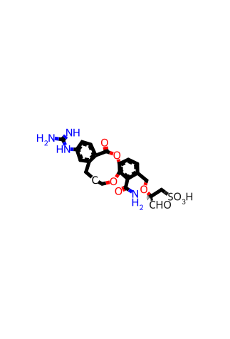 N=C(N)Nc1ccc2c(c1)CCCOc1c(ccc(CO[C@H](C=O)CS(=O)(=O)O)c1C(N)=O)OC2=O